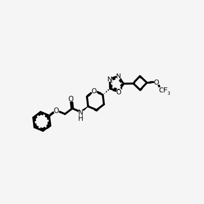 O=C(COc1ccccc1)N[C@@H]1CC[C@@H](c2nnc(C3CC(OC(F)(F)F)C3)o2)OC1